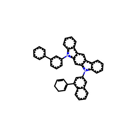 C1=CC(c2cc(-n3c4ccccc4c4cc5c6ccccc6n(-c6cccc(-c7ccccc7)c6)c5cc43)cc3ccccc23)=CCC1